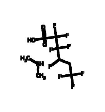 CNC.O=S(=O)(O)C(F)(F)C(F)(F)C(F)CC(F)(F)F